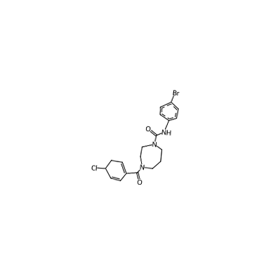 O=C(Nc1ccc(Br)cc1)N1CCCN(C(=O)C2=CCC(Cl)C=C2)CC1